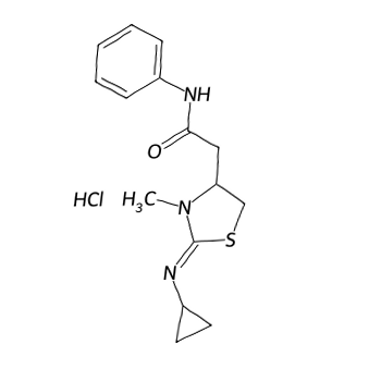 CN1C(=NC2CC2)SCC1CC(=O)Nc1ccccc1.Cl